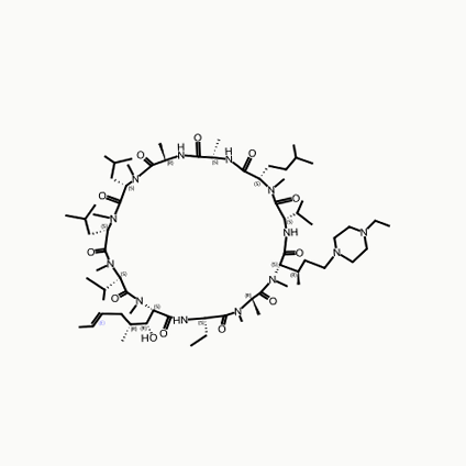 C/C=C/C[C@@H](C)[C@@H](O)[C@H]1C(=O)N[C@@H](CC)C(=O)N(C)[C@H](C)C(=O)N(C)[C@@H]([C@H](C)CCN2CCN(CC)CC2)C(=O)N[C@@H](C(C)C)C(=O)N(C)[C@@H](CCC(C)C)C(=O)N[C@@H](C)C(=O)N[C@H](C)C(=O)N(C)[C@@H](CC(C)C)C(=O)N(C)[C@@H](CC(C)C)C(=O)N(C)[C@@H](C(C)C)C(=O)N1C